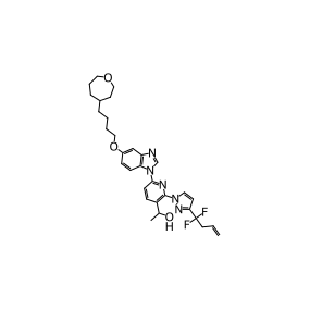 C=CCC(F)(F)c1ccn(-c2nc(-n3cnc4cc(OCCCCC5CCCOCC5)ccc43)ccc2C(C)O)n1